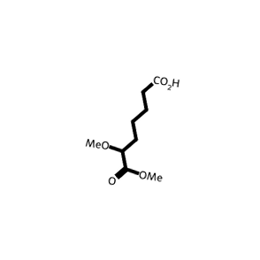 COC(=O)C(CCCCC(=O)O)OC